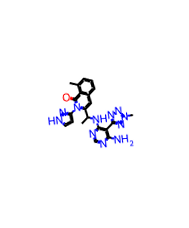 Cc1cccc2cc(C(C)Nc3ncnc(N)c3-c3nnn(C)n3)n(-c3cc[nH]n3)c(=O)c12